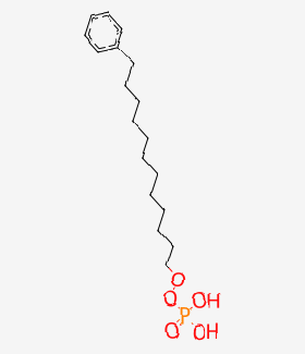 O=P(O)(O)OOCCCCCCCCCCCCc1ccccc1